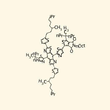 CCCCCCCCN1C(=O)c2c(-c3cnc(-c4c5nc(-c6ccc(CCC(C)CCCC(C)C)s6)sc5c(-c5ncc(C(C)(CCC)CCC)s5)c5nc(-c6ccc(CCC(C)CCCC(C)C)s6)sc45)s3)sc(C(C)(CCC)CCC)c2C1=O